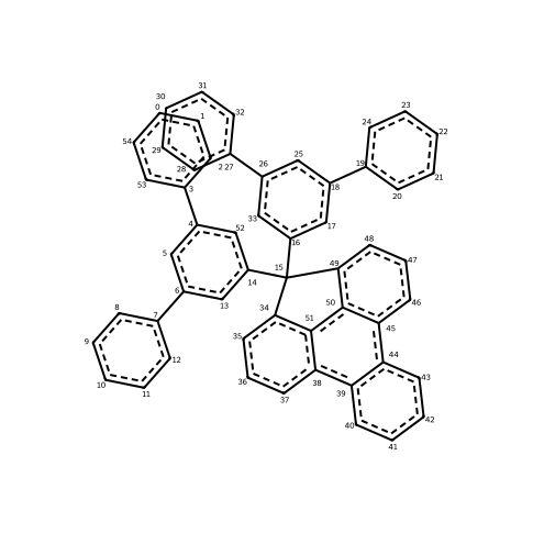 c1ccc(-c2cc(-c3ccccc3)cc(C3(c4cc(-c5ccccc5)cc(-c5ccccc5)c4)c4cccc5c6ccccc6c6cccc3c6c45)c2)cc1